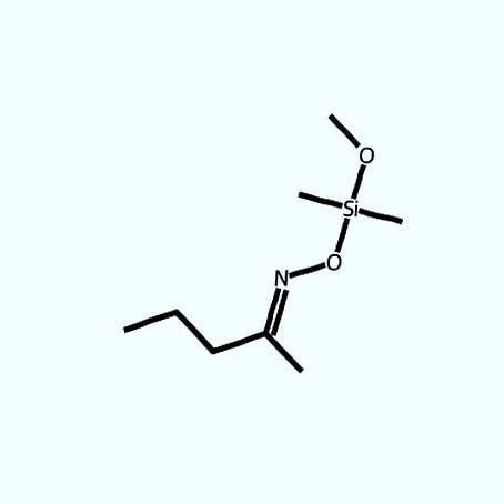 CCCC(C)=NO[Si](C)(C)OC